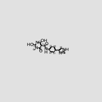 Cn1c(O)nc(O)c(C(=O)Nc2ccc(-c3c[nH]nn3)cc2)c1=O